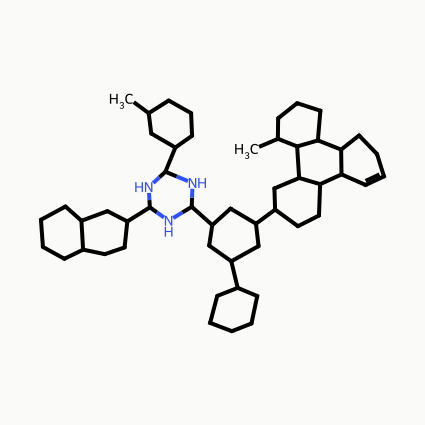 CC1CCCC(C2NC(C3CCC4CCCCC4C3)NC(C3CC(C4CCCCC4)CC(C4CCC5C6C=CCCC6C6CCCC(C)C6C5C4)C3)N2)C1